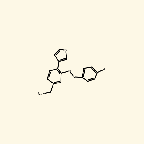 CNCc1ccc(-c2ccoc2)c(NSc2ccc(F)cc2)c1